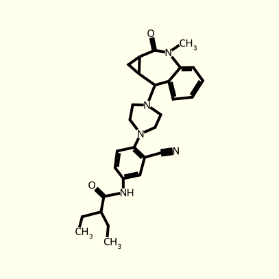 CCC(CC)C(=O)Nc1ccc(N2CCN(C3c4ccccc4N(C)C(=O)C4CC43)CC2)c(C#N)c1